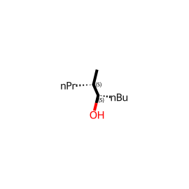 CCCC[C@H](O)[C@@H](C)CCC